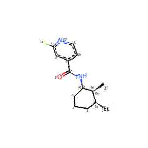 CC[C@H]1CCC[C@@H](NC(=O)c2ccnc(F)c2)[C@H]1C